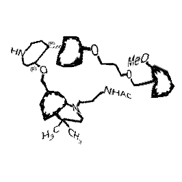 COc1ccccc1COCCCOc1ccc([C@H]2CCNC[C@@H]2OCc2ccc3c(c2)N(CCNC(C)=O)CC3(C)C)cc1